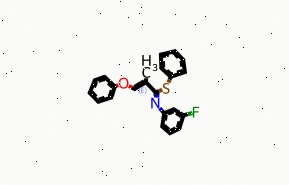 C/C(=C\Oc1ccccc1)C(=Nc1cccc(F)c1)Sc1ccccc1